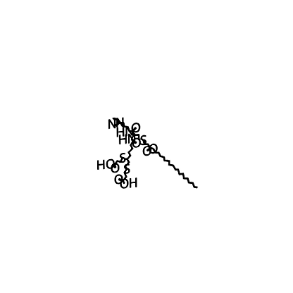 CCCCCCCCCCCCCCCCCCOC(=O)CCSCCC(NC(=O)CCCCC(CCSCCC(=O)O)SCCC(=O)O)C(=O)NCCCn1ccnc1